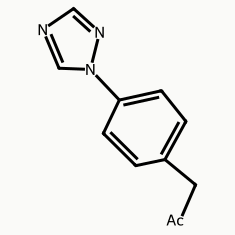 CC(=O)Cc1ccc(-n2cncn2)cc1